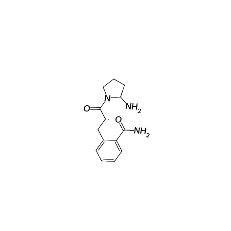 NC(=O)c1ccccc1C[CH]C(=O)N1CCCC1N